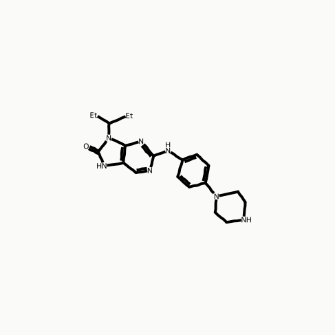 CCC(CC)n1c(=O)[nH]c2cnc(Nc3ccc(N4CCNCC4)cc3)nc21